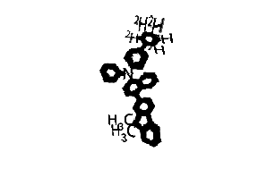 [2H]c1c([2H])c([2H])c(-c2ccc(N(c3ccccc3)c3ccc(-c4ccc5c(c4)C(C)(C)c4ccccc4-5)c4ccccc34)cc2)c([2H])c1[2H]